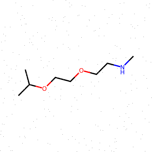 CNCCOCCOC(C)C